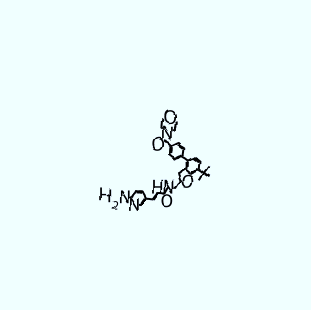 CC(C)(C)c1ccc(-c2ccc(C(=O)N3CCOCC3)cc2)c2c1OC(CNC(=O)C=Cc1ccc(N)nc1)C2